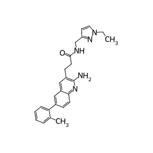 CCn1ccc(CNC(=O)CCc2cc3cc(-c4ccccc4C)ccc3nc2N)n1